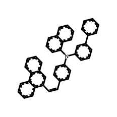 C(=C/c1cc2ccccc2c2ccccc12)/c1ccc(N(c2cccc(-c3ccccc3)c2)c2cccc3ccccc23)cc1